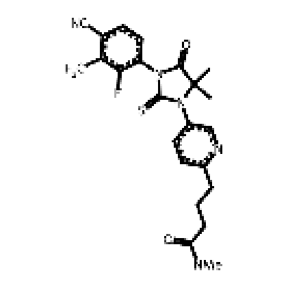 CNC(=O)CCCc1ccc(N2C(=S)N(c3ccc(C#N)c(C(F)(F)F)c3F)C(=O)C2(C)C)cn1